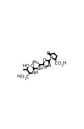 CC(O)[C@H](NC(=O)N[C@H](c1nnc(N2C(=O)CC[C@@H]2C(=O)O)o1)C(C)C)C(=O)O